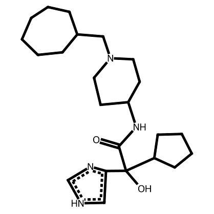 O=C(NC1CCN(CC2CCCCCC2)CC1)C(O)(c1c[nH]cn1)C1CCCC1